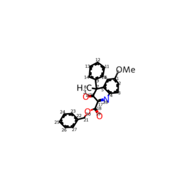 COc1ccc2c(c1)C(C)(c1ccccc1)C(=O)C(C(=O)OCc1ccccc1)=N2